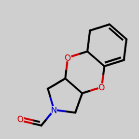 O=CN1CC2OC3=CC=CCC3OC2C1